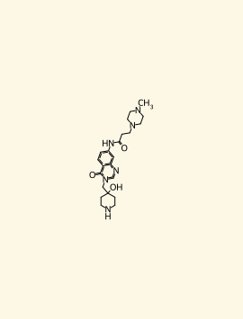 CN1CCN(CCC(=O)Nc2ccc3c(=O)n(CC4(O)CCNCC4)cnc3c2)CC1